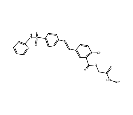 CCCNC(=O)COC(=O)c1cc(N=Nc2ccc(S(=O)(=O)Nc3ccccn3)cc2)ccc1O